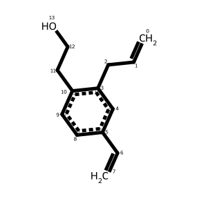 C=CCc1cc(C=C)ccc1CCO